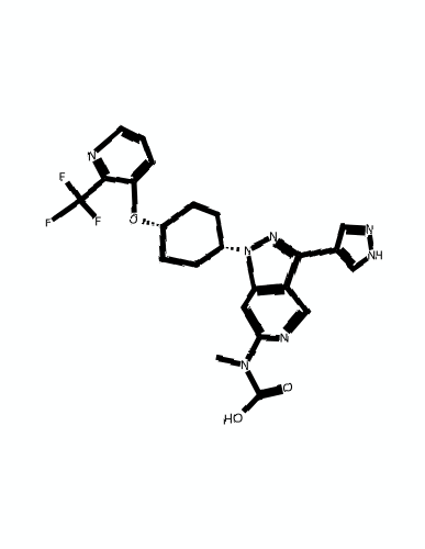 CN(C(=O)O)c1cc2c(cn1)c(-c1cn[nH]c1)nn2[C@H]1CC[C@@H](Oc2cccnc2C(F)(F)F)CC1